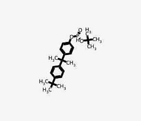 CC(C)(C)O[PH](=O)Oc1ccc(C(C)(C)c2ccc(C(C)(C)C)cc2)cc1